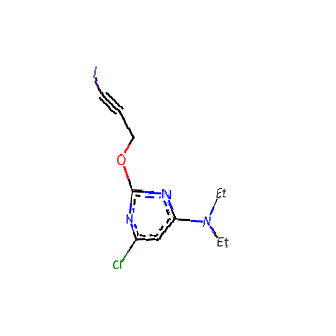 CCN(CC)c1cc(Cl)nc(OCC#CI)n1